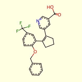 O=C(O)c1cncc(C2=C(c3cc(C(F)(F)F)ccc3OCc3ccccc3)CCC2)c1